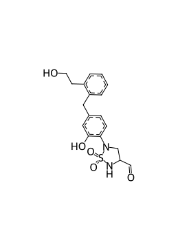 O=CC1CN(c2ccc(Cc3ccccc3CCO)cc2O)S(=O)(=O)N1